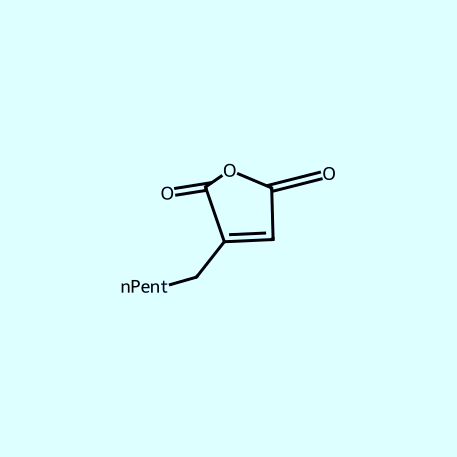 CCCCCCC1=CC(=O)OC1=O